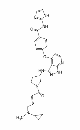 CN(CC=CC(=O)N1CCC(Nc2n[nH]c3nccc(Oc4ccc(C(=O)Nc5ncc[nH]5)cc4)c23)C1)C1CC1